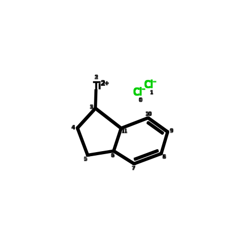 [Cl-].[Cl-].[Ti+2][CH]1CCC2C=CC=CC12